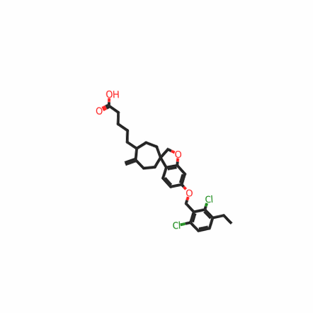 C=C1CCC2(CCC1CCCCC(=O)O)COc1cc(OCc3c(Cl)ccc(CC)c3Cl)ccc12